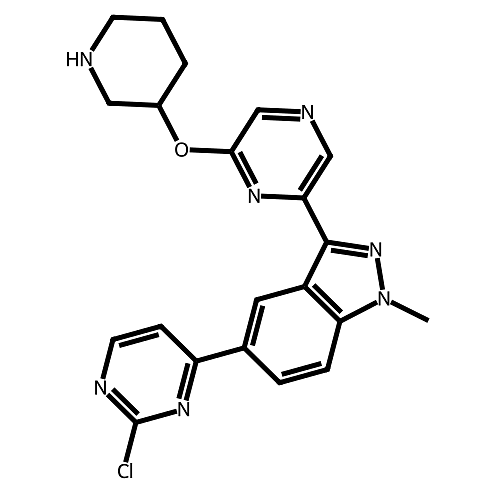 Cn1nc(-c2cncc(OC3CCCNC3)n2)c2cc(-c3ccnc(Cl)n3)ccc21